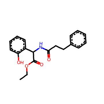 CCOC(=O)C(NC(=O)CCc1ccccc1)c1ccccc1O